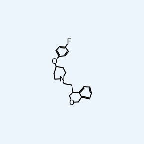 Fc1ccc(OC2CCN(CCC3COCc4ccccc43)CC2)cc1